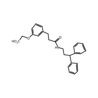 O=C(O)COc1cccc(CCC(=O)NCCC(c2ccccc2)c2ccccc2)c1